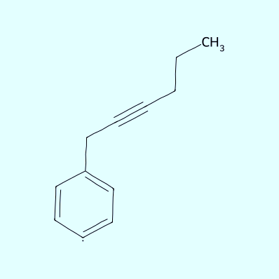 CCCC#CCc1cc[c]cc1